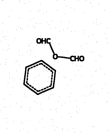 O=COC=O.c1ccccc1